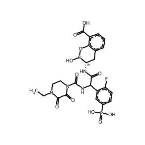 CCN1CCN(C(=O)NC(C(=O)N[C@H]2Cc3cccc(C(=O)O)c3OB2O)c2cc(P(=O)(O)O)ccc2F)C(=O)C1=O